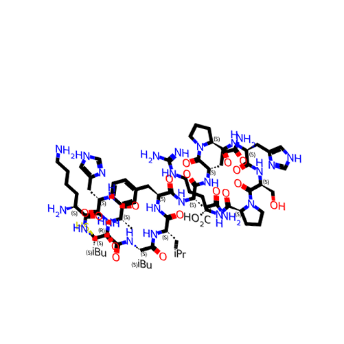 CC[C@H](C)[C@H](NC(=O)[C@H](CS)NC(=O)[C@H](Cc1c[nH]cn1)NC(=O)[C@H](C)NC(=O)[C@@H](NC(=O)[C@@H](N)CCCCN)[C@@H](C)CC)C(=O)N[C@@H](CC(C)C)C(=O)N[C@@H](Cc1ccccc1)C(=O)N[C@@H](CC(N)=O)C(=O)N[C@@H](CCC(N)=O)C(=O)N1CCC[C@H]1C(=O)N[C@@H](Cc1c[nH]cn1)C(=O)N[C@@H](CO)C(=O)N1CCC[C@H]1C(=O)N[C@@H](CCCNC(=N)N)C(=O)O